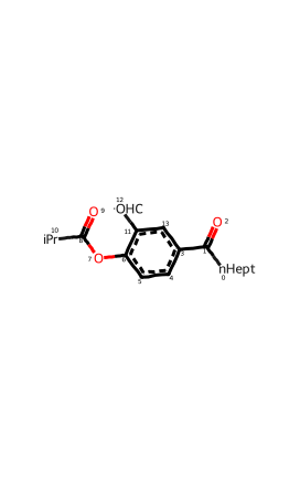 CCCCCCCC(=O)c1ccc(OC(=O)C(C)C)c([C]=O)c1